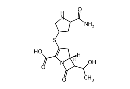 CC(O)C1C(=O)N2C(C(=O)O)=C(SC3CNC(C(N)=O)C3)C[C@H]12